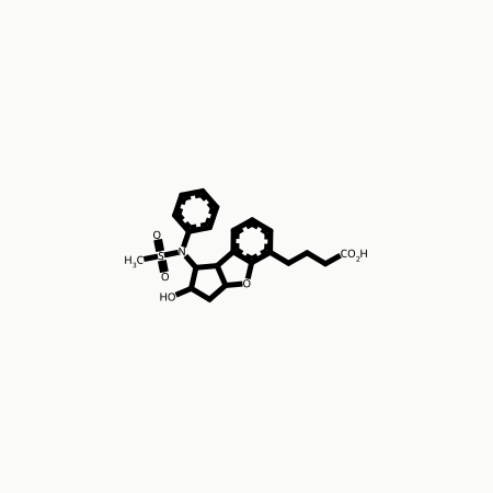 CS(=O)(=O)N(c1ccccc1)C1C(O)CC2Oc3c(CCCC(=O)O)cccc3C21